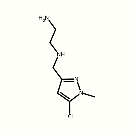 Cn1nc(CNCCN)cc1Cl